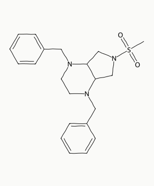 CS(=O)(=O)N1CC2C(C1)N(Cc1ccccc1)CCN2Cc1ccccc1